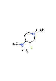 CN(C)C1CCN(C(=O)O)C[C@@H]1F